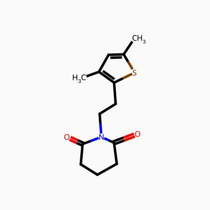 Cc1cc(C)c(CCN2C(=O)CCCC2=O)s1